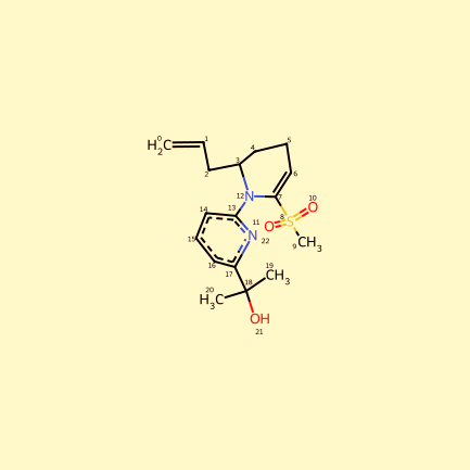 C=CCC1CCC=C(S(C)(=O)=O)N1c1cccc(C(C)(C)O)n1